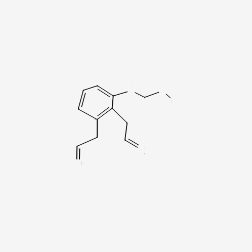 C=CCc1cccc(O[CH]OCC)c1CC=C